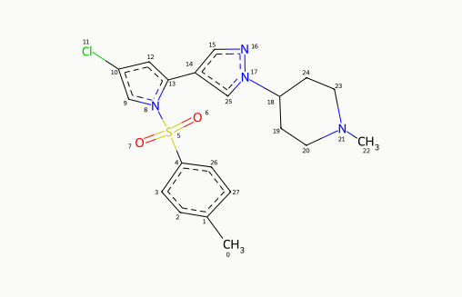 Cc1ccc(S(=O)(=O)n2cc(Cl)cc2-c2cnn(C3CCN(C)CC3)c2)cc1